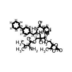 Cc1oc(=O)oc1COC(=O)[C@](C)(COC(=O)[C@@H](N)C(C)C)C[C@@H](Cc1ccc(-c2ccccc2)cc1)NC(=O)c1cnn[nH]1